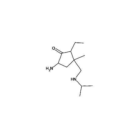 CCC1C(=O)C(N)CC1(C)CNC(C)C